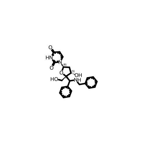 O=c1ccn([C@H]2C[C@H](O)[C@](CO)(C(NCc3ccccc3)c3ccccc3)O2)c(=O)[nH]1